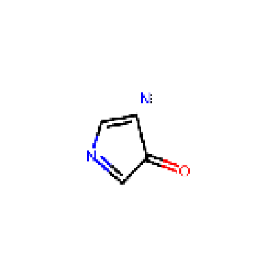 O=C1C=CN=C1.[N]